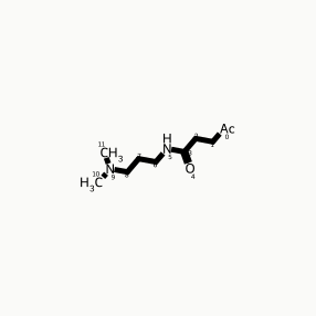 CC(=O)CCC(=O)NCCCN(C)C